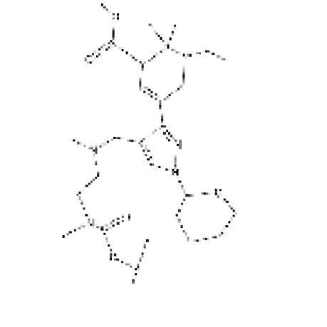 CCC1CC(c2nn(C3CCCCO3)cc2CN(C)CCN(C)C(=O)OC(C)(C)C)=CC(C(=O)OC)C1(C)C